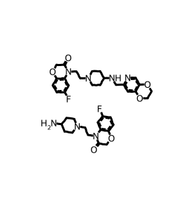 NC1CCN(CCN2C(=O)COc3ccc(F)cc32)CC1.O=C1COc2ccc(F)cc2N1CCN1CCC(NCc2cc3c(cn2)OCCO3)CC1